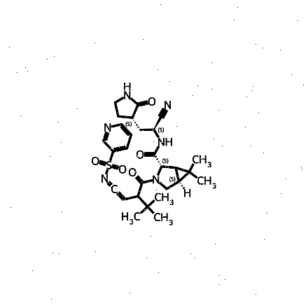 CC(C)(C)C(C=C=NS(=O)(=O)c1cccnc1)C(=O)N1C[C@H]2C([C@H]1C(=O)N[C@H](C#N)C[C@@H]1CCNC1=O)C2(C)C